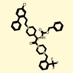 O=C(N[C@@H](C(=O)N1CCN(Cc2ccccc2C(F)(F)F)CC1)C1CCN(CCc2cc(Cl)ccc2-c2ccccc2)CC1)OCc1ccccc1